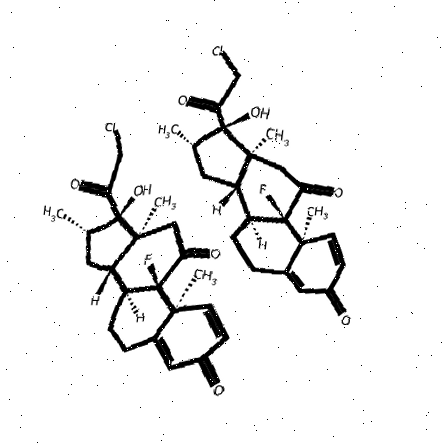 C[C@H]1C[C@H]2[C@@H]3CCC4=CC(=O)C=C[C@]4(C)[C@@]3(F)C(=O)C[C@]2(C)[C@@]1(O)C(=O)CCl.C[C@H]1C[C@H]2[C@@H]3CCC4=CC(=O)C=C[C@]4(C)[C@@]3(F)C(=O)C[C@]2(C)[C@@]1(O)C(=O)CCl